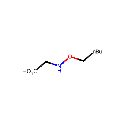 CCCCCONCC(=O)O